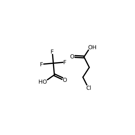 O=C(O)C(F)(F)F.O=C(O)CCCl